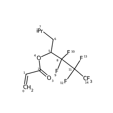 C=CC(=O)OC(CC(C)C)C(F)(F)C(F)(F)C(F)(F)F